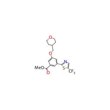 COC(=O)c1cc(OCC2CCOCC2)cc(-c2ncc(C(F)(F)F)s2)c1